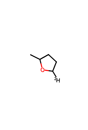 [2H]C1CCC(C)O1